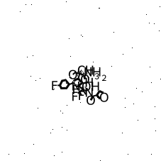 C[C@]1(C(N)=O)COc2c1cc([C@@](O)(CNC(=O)c1ccoc1)C(F)(F)F)nc2-c1ccc(F)cc1